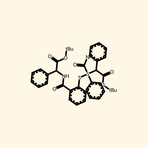 CC(C)(C)OC(=O)C(NC(=O)c1ccccc1SS(C(N)=O)(c1ccccc1)C(C(=O)OC(C)(C)C)c1ccccc1)c1ccccc1